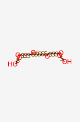 O=C(CSCSCSCC[S+]([O-])CSCSCSCSC(=O)CSCSCSCC(=O)OCSCCO)OCSCCO